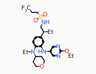 CCOc1ncc(Nc2cc([C@H](CC)CNS(=O)(=O)CCC(F)(F)F)ccc2N(CC)C2CCOCC2)cn1